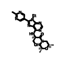 CCn1c(-c2cnc(C)nc2)nc2c(N[C@H](CO)C(=O)N3C[C@@H](C)O[C@@H](C)C3)ncnc21